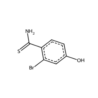 NC(=S)c1ccc(O)cc1Br